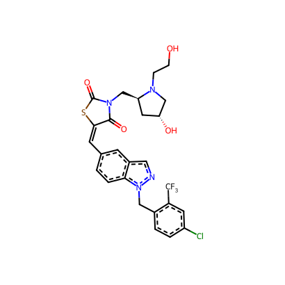 O=C1SC(=Cc2ccc3c(cnn3Cc3ccc(Cl)cc3C(F)(F)F)c2)C(=O)N1C[C@@H]1C[C@@H](O)CN1CCO